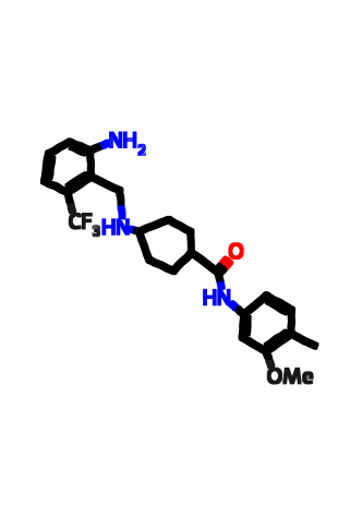 COc1cc(NC(=O)C2CCC(NCc3c(N)cccc3C(F)(F)F)CC2)ccc1C